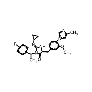 COc1cc(/C=C2\N/C(=N\C3CC3)N(C(C)c3ccc(F)cc3)C2=O)ccc1-n1cnc(C)c1